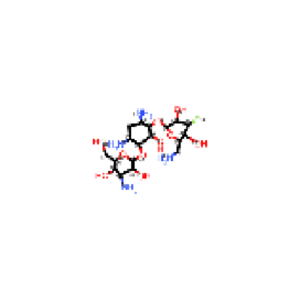 NCC1OC(OC2C(N)CC(N)C(OC3OC(CO)C(O)C(N)C3O)C2O)C(O)C(F)C1O